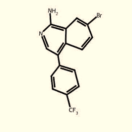 Nc1ncc(-c2ccc(C(F)(F)F)cc2)c2ccc(Br)cc12